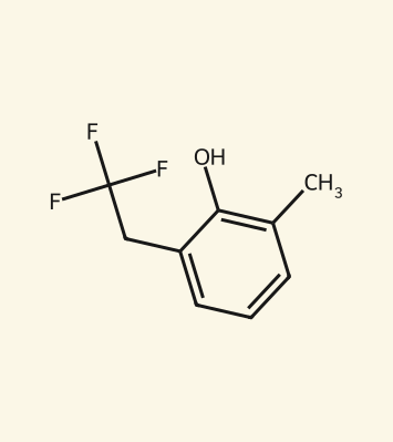 Cc1cccc(CC(F)(F)F)c1O